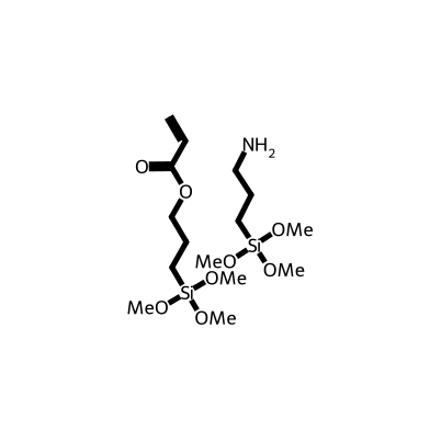 C=CC(=O)OCCC[Si](OC)(OC)OC.CO[Si](CCCN)(OC)OC